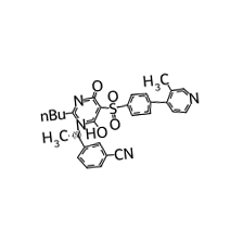 CCCCc1nc(=O)c(S(=O)(=O)c2ccc(-c3ccncc3C)cc2)c(O)n1[C@@H](C)c1cccc(C#N)c1